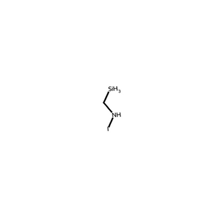 [SiH3]CNI